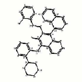 Cc1ccccc1PCc1c(C)c(Pc2ccccc2C2CCCCC2)c2ccccc2c1-c1cccc2ccccc12